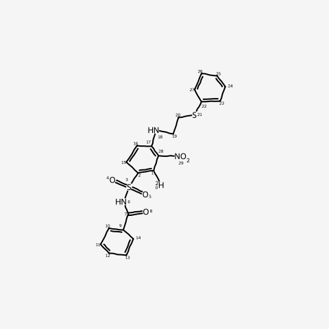 [2H]c1c(S(=O)(=O)NC(=O)c2ccccc2)ccc(NCCSc2ccccc2)c1[N+](=O)[O-]